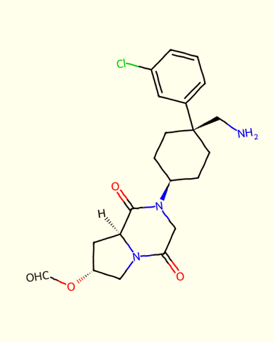 NC[C@]1(c2cccc(Cl)c2)CC[C@H](N2CC(=O)N3C[C@H](OC=O)C[C@H]3C2=O)CC1